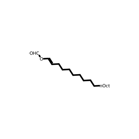 CCCCCCCCCCCCCCCC/C=C/O[C]=O